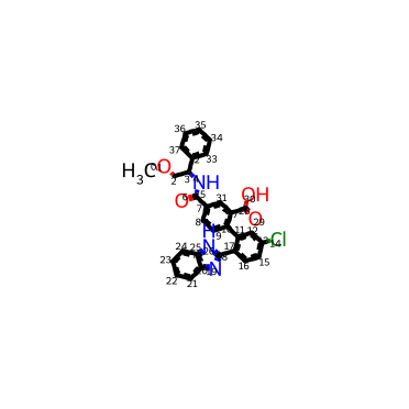 COCC(NC(=O)c1ccc(-c2cc(Cl)ccc2-c2nc3ccccc3[nH]2)c(C(=O)O)c1)c1ccccc1